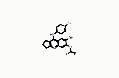 CCN1CCC(Nc2c3c(nc4cc(OC(F)F)c(O)cc24)CCC3)CC1